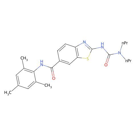 CCCN(CCC)C(=O)Nc1nc2ccc(C(=O)Nc3c(C)cc(C)cc3C)cc2s1